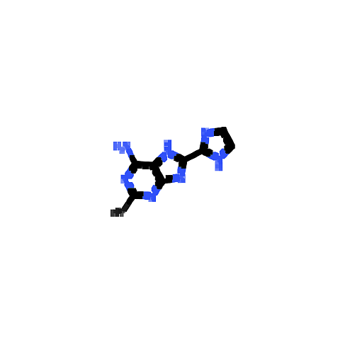 CCCc1nc(N)c2[nH]c(-c3ncc[nH]3)nc2n1